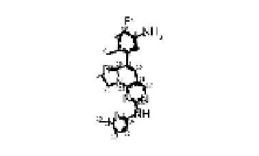 Cc1cc(F)c(N)cc1C1=Cc2cnc(Nc3ccn(C)n3)nc2N2CCN=C12